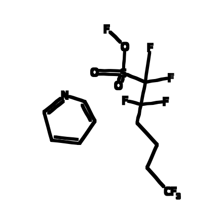 O=S(=O)(OF)C(F)(F)C(F)(F)CCCC(F)(F)F.c1ccncc1